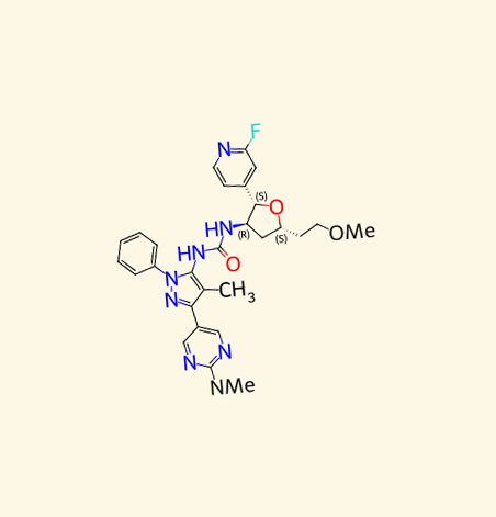 CNc1ncc(-c2nn(-c3ccccc3)c(NC(=O)N[C@@H]3C[C@@H](CCOC)O[C@H]3c3ccnc(F)c3)c2C)cn1